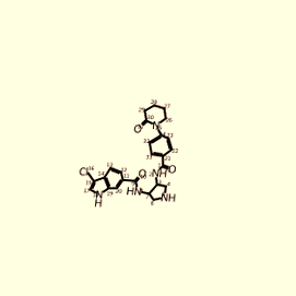 O=C(NC1CNCC1NC(=O)c1ccc2c(Cl)c[nH]c2c1)c1ccc(N2CCCCC2=O)cc1